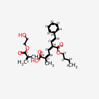 C=C(C)C(=O)OCCO.CCCCOC(=O)C(C=Cc1ccccc1)=CC=C(C)C(=O)O